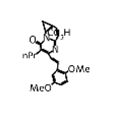 CCCc1c(/C=C/c2cc(OC)ccc2OC)nc2n(c1=O)C1CC1(C(=O)O)C=C2